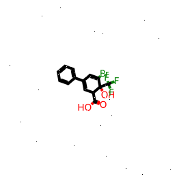 O=C(O)C1C=C(c2ccccc2)C=C(Br)C1(O)C(F)(F)F